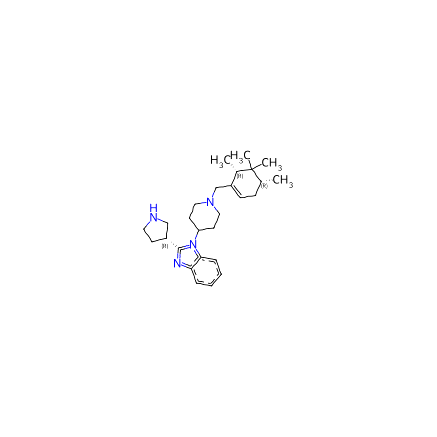 C[C@@H]1CC=C(CN2CCC(n3c([C@@H]4CCNC4)nc4ccccc43)CC2)[C@H](C)C1(C)C